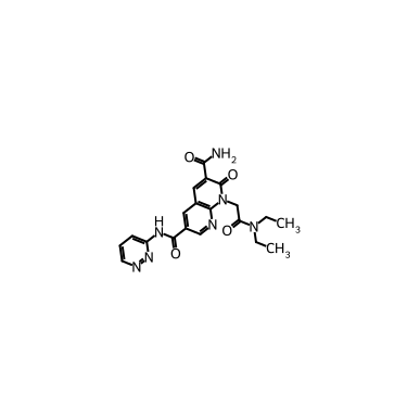 CCN(CC)C(=O)Cn1c(=O)c(C(N)=O)cc2cc(C(=O)Nc3cccnn3)cnc21